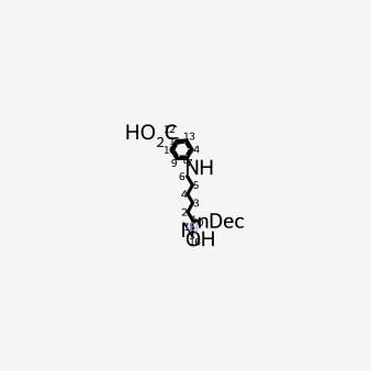 CCCCCCCCCC/C(CCCCCNc1ccc(C(=O)O)cc1)=N\O